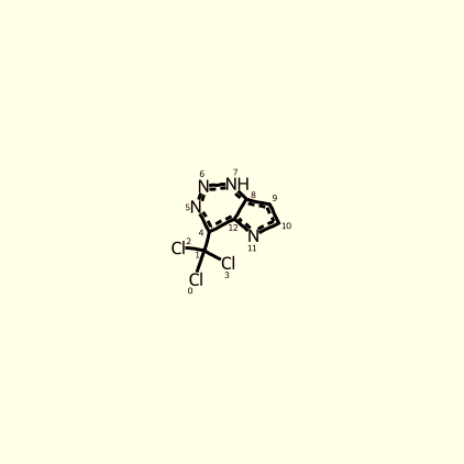 ClC(Cl)(Cl)c1nn[nH]c2ccnc1-2